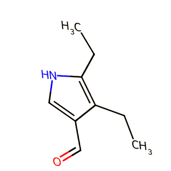 CCc1[nH]cc(C=O)c1CC